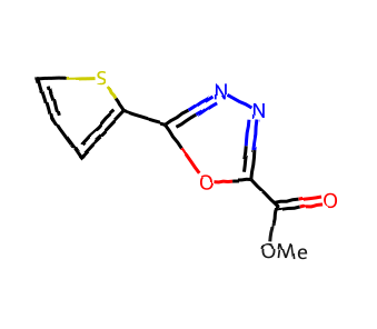 COC(=O)c1nnc(-c2cccs2)o1